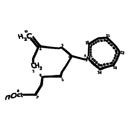 C=C(C)CC(CCCCCCCCCCC)[n+]1ccccc1